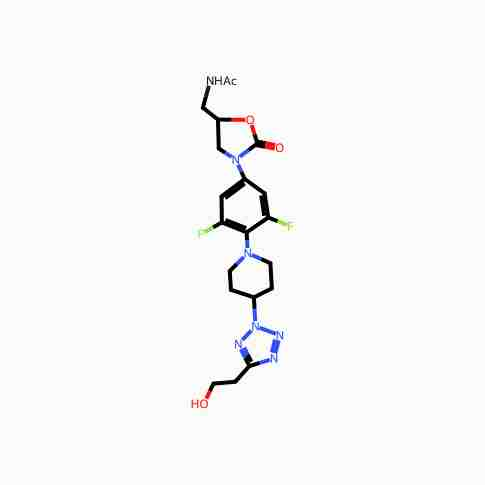 CC(=O)NCC1CN(c2cc(F)c(N3CCC(n4nnc(CCO)n4)CC3)c(F)c2)C(=O)O1